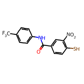 O=C(Nc1ccc(C(F)(F)F)cc1)c1ccc(S)c([N+](=O)[O-])c1